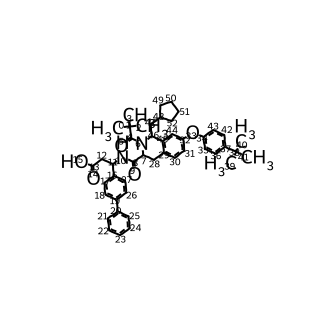 CC(C)(C)C(=O)N1C(C(=O)NC(CC(=O)O)c2ccc(-c3ccccc3)cc2)Cc2ccc(Oc3ccc(C(C)(C)C)cc3)cc2C1CC1CCCC1